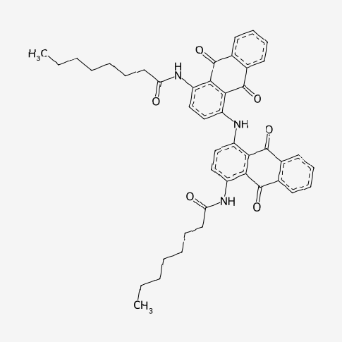 CCCCCCCC(=O)Nc1ccc(Nc2ccc(NC(=O)CCCCCCC)c3c2C(=O)c2ccccc2C3=O)c2c1C(=O)c1ccccc1C2=O